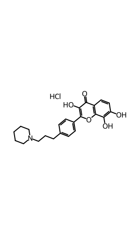 Cl.O=c1c(O)c(-c2ccc(CCCN3CCCCC3)cc2)oc2c(O)c(O)ccc12